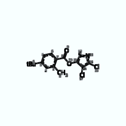 Cc1cc(C(C)(C)C)ccc1C(=O)Oc1snc(Cl)c1Cl